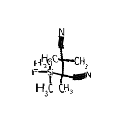 CC(C)(C#N)C(C)(C#N)[Si](C)(C)F